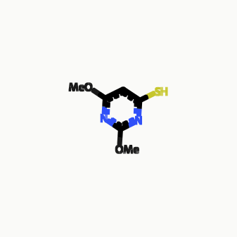 COc1cc(S)nc(OC)n1